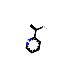 C=C(c1ccccn1)C(F)(F)F